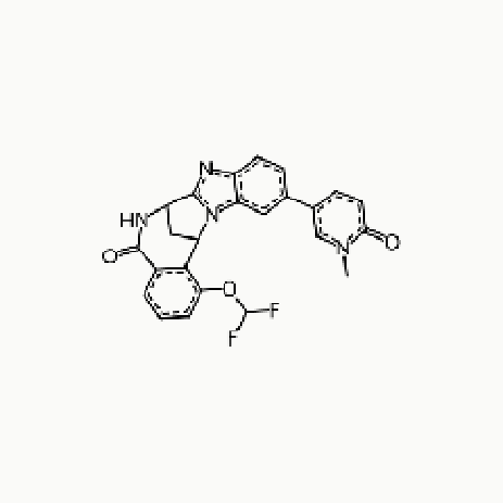 Cn1cc(-c2ccc3nc4n(c3c2)C2CC4NC(=O)c3cccc(OC(F)F)c32)ccc1=O